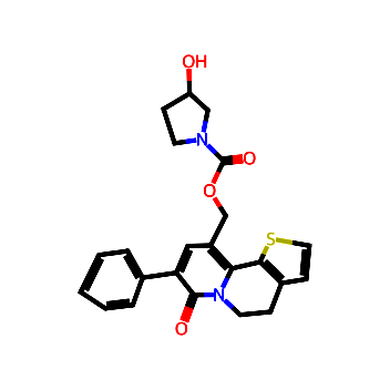 O=C(OCc1cc(-c2ccccc2)c(=O)n2c1-c1sccc1CC2)N1CCC(O)C1